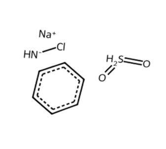 O=[SH2]=O.[NH-]Cl.[Na+].c1ccccc1